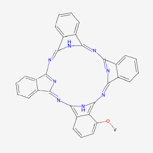 [V][O]c1cccc2c3nc4nc(nc5[nH]c(nc6nc(nc([nH]3)c12)-c1ccccc1-6)c1ccccc51)-c1ccccc1-4